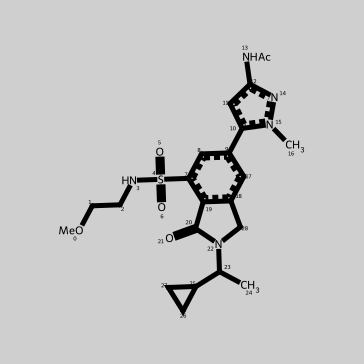 COCCNS(=O)(=O)c1cc(-c2cc(NC(C)=O)nn2C)cc2c1C(=O)N(C(C)C1CC1)C2